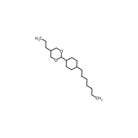 CCCCCCCC1CCC(C2OCC(CCC)CO2)CC1